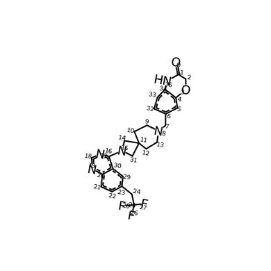 O=C1COc2cc(CN3CCC4(CC3)CN(c3ncnc5ccc(CC(F)(F)F)cc35)C4)ccc2N1